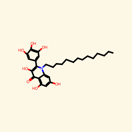 CCCCCCCCCCCCCCn1c(-c2cc(O)c(O)c(O)c2)c(O)c(=O)c2c(O)cc(O)cc21